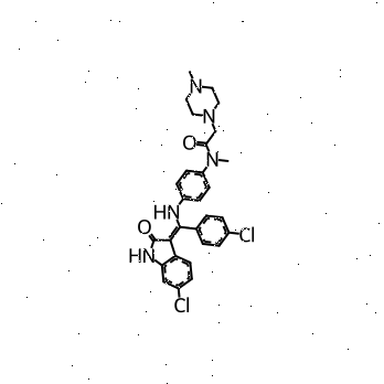 CN1CCN(CC(=O)N(C)c2ccc(N/C(=C3\C(=O)Nc4cc(Cl)ccc43)c3ccc(Cl)cc3)cc2)CC1